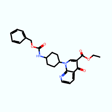 CCOC(=O)c1cn(C2CCC(NC(=O)OCc3ccccc3)CC2)c2ncccc2c1=O